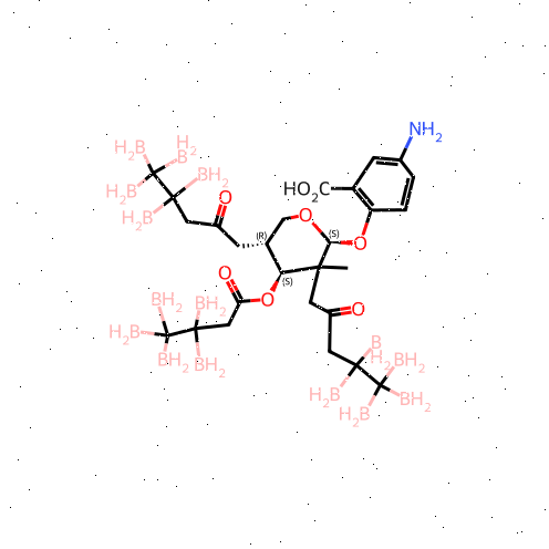 BC(B)(B)C(B)(B)CC(=O)C[C@@H]1CO[C@@H](Oc2ccc(N)cc2C(=O)O)C(C)(CC(=O)CC(B)(B)C(B)(B)B)[C@H]1OC(=O)CC(B)(B)C(B)(B)B